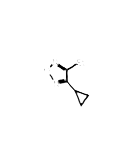 CCc1nonc1C1CC1